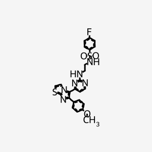 COc1ccc(-c2nc3sccn3c2-c2ccnc(NCCNS(=O)(=O)c3ccc(F)cc3)n2)cc1